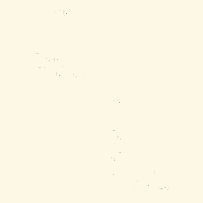 CCO/N=C(\CCCCC(=O)NC(C(=O)N1C[C@H](O)C[C@H]1C(=O)N[C@@H](C)c1ccc(-c2scnc2C)cc1)C(C)(C)C)CCCc1ccc(C(=O)NC2C(C)(C)C(Oc3ccc(C#N)c(Cl)c3)C2(C)C)nc1